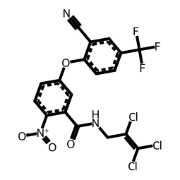 N#Cc1cc(C(F)(F)F)ccc1Oc1ccc([N+](=O)[O-])c(C(=O)NCC(Cl)=C(Cl)Cl)c1